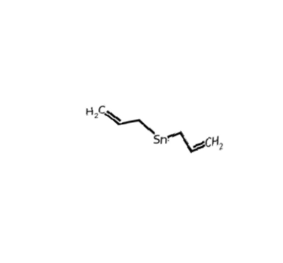 C=C[CH2][Sn][CH2]C=C